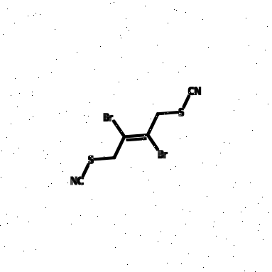 N#CSCC(Br)=C(Br)CSC#N